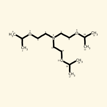 CC(C)OCCN(CCOC(C)C)CCOC(C)C